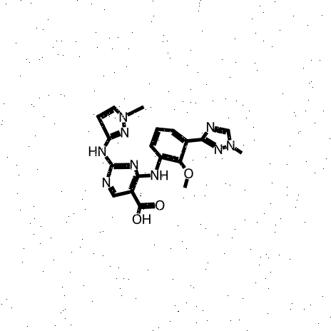 COc1c(Nc2nc(Nc3ccn(C)n3)ncc2C(=O)O)cccc1-c1ncn(C)n1